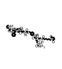 CCOCc1nc2c(NC(=O)[C@@H]3CCCN3)nc3ccccc3c2n1CC(C)(C)OCCNC(=O)OCc1ccc(NC(=O)[C@H](CCCNC(N)=O)NC(=O)CNC(=O)CCCCCN2C(=O)C=CC2=O)cc1